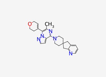 Cc1nc(N2CCC3(CC2)Cc2cccnc2C3)c2ccnn2c1C1=CCOCC1